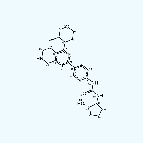 C[C@H]1COCCN1c1nc(-c2ccc(NC(=O)N[C@H]3CCC[C@@H]3O)cc2)nc2c1CCNC2